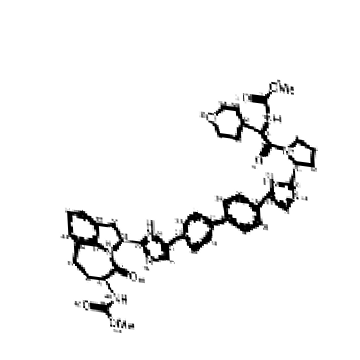 COC(=O)NC(C(=O)N1CCC[C@H]1c1ncc(-c2ccc(-c3ccc(-c4cnc([C@@H]5Cc6cccc7c6N5C(=O)[C@@H](NC(=O)OC)CC7)[nH]4)cc3)cc2)[nH]1)C1CCOCC1